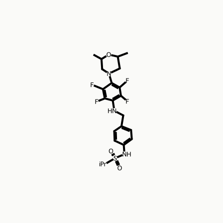 CC1CN(c2c(F)c(F)c(NCc3ccc(NS(=O)(=O)C(C)C)cc3)c(F)c2F)CC(C)O1